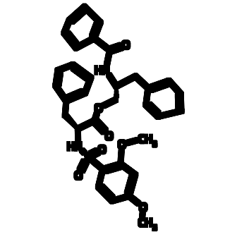 COc1ccc(S(=O)(=O)N[C@@H](Cc2ccccc2)C(=O)OC[C@@H](Cc2ccccc2)NC(=O)c2ccccc2)c(OC)c1